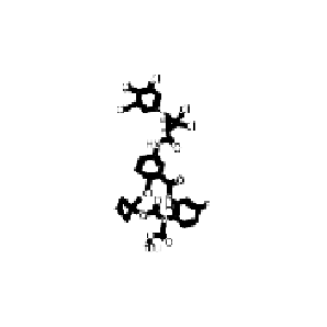 CC(C)(C)OC(=O)N(C(=O)OC1(C)CCC1)c1ccc(F)cc1NC(=O)c1cc(NC(=O)[C@H]2[C@H](c3cc(Cl)c(Cl)c(Cl)c3)C2(Cl)Cl)ccc1Cl